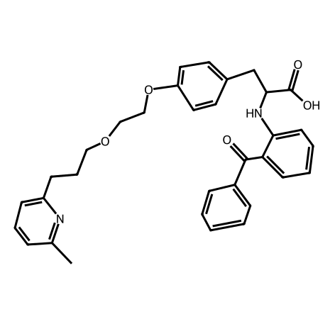 Cc1cccc(CCCOCCOc2ccc(CC(Nc3ccccc3C(=O)c3ccccc3)C(=O)O)cc2)n1